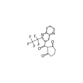 O=C1CCCC(=O)C1C(=O)c1cc2ncccc2nc1C(F)(F)C(F)(F)F